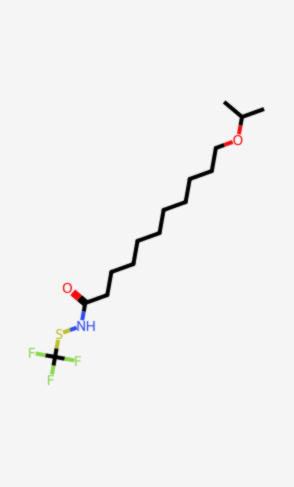 CC(C)OCCCCCCCCCCC(=O)NSC(F)(F)F